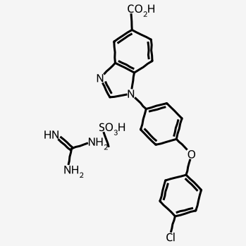 CS(=O)(=O)O.N=C(N)N.O=C(O)c1ccc2c(c1)ncn2-c1ccc(Oc2ccc(Cl)cc2)cc1